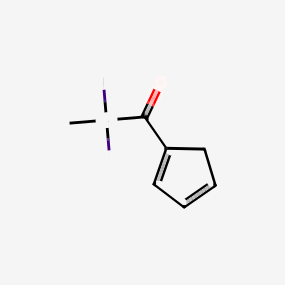 [CH3][Co]([I])([I])[C](=O)C1=CC=CC1